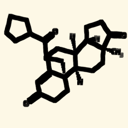 C[C@]12CC[C@@H]3[C@@H](CCC4=CC(=O)CC[C@@]43COC(=O)C3CCCC3)[C@@H]1CCC2=O